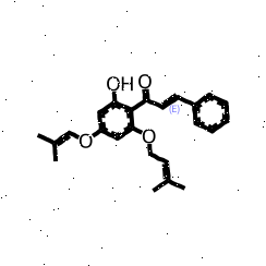 CC(C)=CCOc1cc(OC=C(C)C)cc(O)c1C(=O)/C=C/c1ccccc1